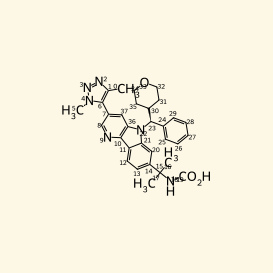 Cc1nnn(C)c1-c1cnc2c3ccc(C(C)(C)NC(=O)O)cc3n([C@H](c3ccccc3)C3CCOCC3)c2c1